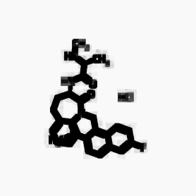 CN[C@@H](C)C(=O)N[C@H]1CCc2ccccc2N(Cc2c(OC)ccc3cc(F)ccc23)C1=O.Cl